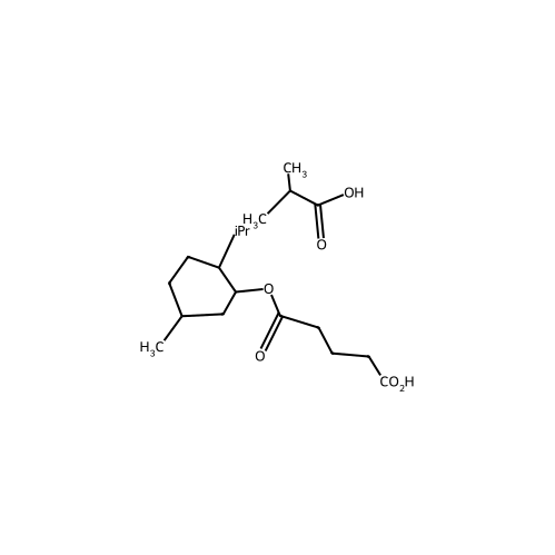 CC(C)C(=O)O.CC1CCC(C(C)C)C(OC(=O)CCCC(=O)O)C1